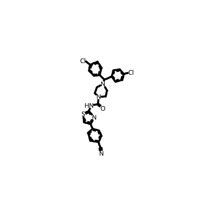 N#Cc1ccc(-c2csc(NC(=O)N3CCN(C(c4ccc(Cl)cc4)c4ccc(Cl)cc4)CC3)n2)cc1